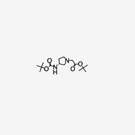 CC(C)(C)OC(=O)CN1CC[C@@H](NC(=O)OC(C)(C)C)C1